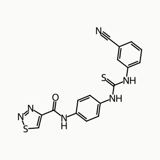 N#Cc1cccc(NC(=S)Nc2ccc(NC(=O)c3csnn3)cc2)c1